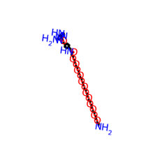 NCCOCCOCCOCCOCCOCCOCCOCCOCCOCCOCCOCCOCCC(=O)NCc1ccc(COc2nc(N)nc3[nH]cnc23)cc1